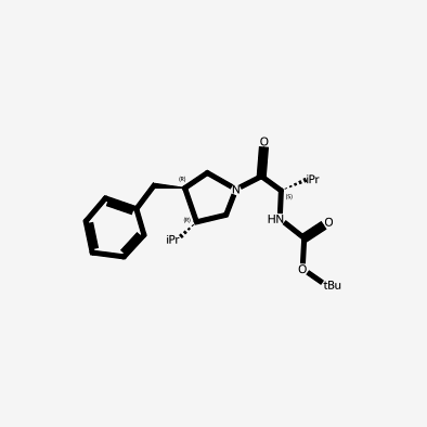 CC(C)[C@H](NC(=O)OC(C)(C)C)C(=O)N1C[C@H](Cc2ccccc2)[C@@H](C(C)C)C1